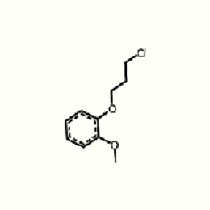 COc1ccccc1OCCCCl